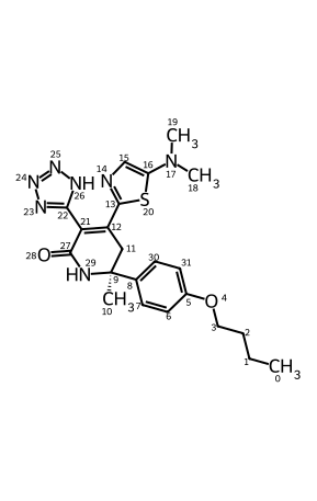 CCCCOc1ccc([C@]2(C)CC(c3ncc(N(C)C)s3)=C(c3nnn[nH]3)C(=O)N2)cc1